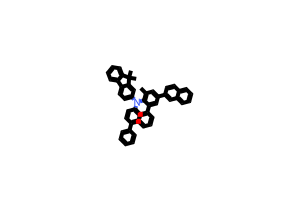 Cc1cc(-c2ccc3ccccc3c2)cc(-c2ccccc2)c1N(c1ccc(-c2ccccc2)cc1)c1ccc2c(c1)C(C)(C)c1ccccc1-2